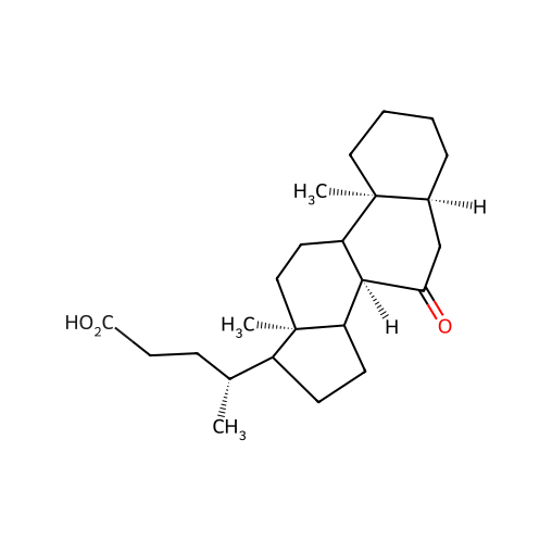 C[C@H](CCC(=O)O)C1CCC2[C@@H]3C(=O)C[C@@H]4CCCC[C@]4(C)C3CC[C@@]21C